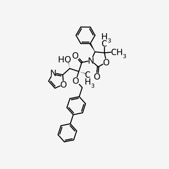 CC1(C)OC(=O)N(C(=O)[C@@](C)(OCc2ccc(-c3ccccc3)cc2)[C@@H](O)c2ncco2)[C@H]1c1ccccc1